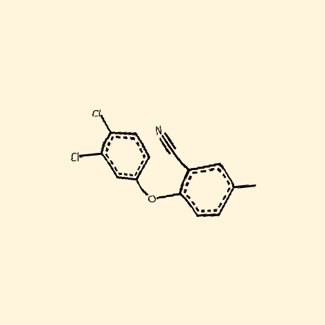 Cc1ccc(Oc2ccc(Cl)c(Cl)c2)c(C#N)c1